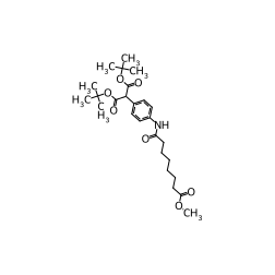 COC(=O)CCCCCCC(=O)Nc1ccc(C(C(=O)OC(C)(C)C)C(=O)OC(C)(C)C)cc1